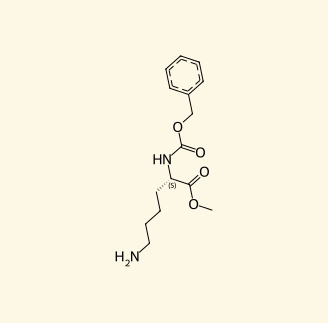 COC(=O)[C@H](CCCCN)NC(=O)OCc1ccccc1